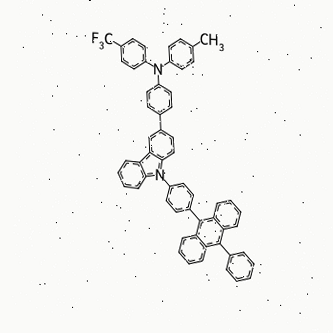 Cc1ccc(N(c2ccc(-c3ccc4c(c3)c3ccccc3n4-c3ccc(-c4c5ccccc5c(-c5ccccc5)c5ccccc45)cc3)cc2)c2ccc(C(F)(F)F)cc2)cc1